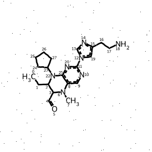 CCC1C(C=O)N(C)c2cnc(-n3cnc(CCN)c3)nc2N1C1CCCC1